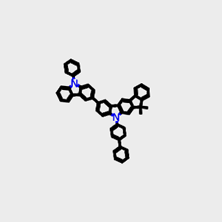 CC1(C)c2ccccc2-c2cc3c4cc(-c5ccc6c(c5)c5ccccc5n6-c5ccccc5)ccc4n(C4=CC=C(c5ccccc5)CC4)c3cc21